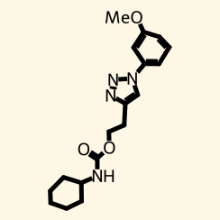 COc1cccc(-n2cc(CCOC(=O)NC3CCCCC3)nn2)c1